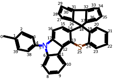 Cc1ccc(-n2c3ccccc3c3c4c(ccc32)C2(c3ccccc3S4)c3ccccc3-c3ccccc32)cc1